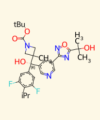 CC(C)c1c(F)cc([C@](O)(c2cncc(-c3noc(C(C)(C)O)n3)c2)C2(C)CN(C(=O)OC(C)(C)C)C2)cc1F